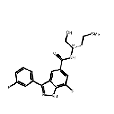 CSCC[C@@H](CO)NC(=O)c1cc(F)c2[nH]nc(-c3cccc(F)c3)c2c1